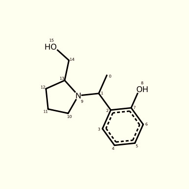 CC(c1ccccc1O)N1CCCC1CO